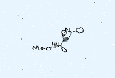 COCCNC(=O)c1cc(-c2ccccc2)no1